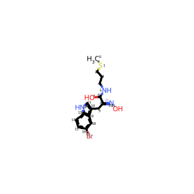 CSCCCNC(O)/C(Cc1c[nH]c2ccc(Br)cc12)=N/O